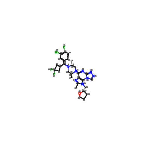 Cc1nc2c(N3C[C@@H](C)N(C(c4ccc(F)c(Br)c4)C4CC(F)(F)C4)C[C@@H]3C)nc3nncn3c2n1C[C@@H]1CCCO1